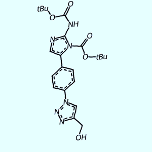 CC(C)(C)OC(=O)Nc1ncc(-c2ccc(-n3cc(CO)nn3)cc2)n1C(=O)OC(C)(C)C